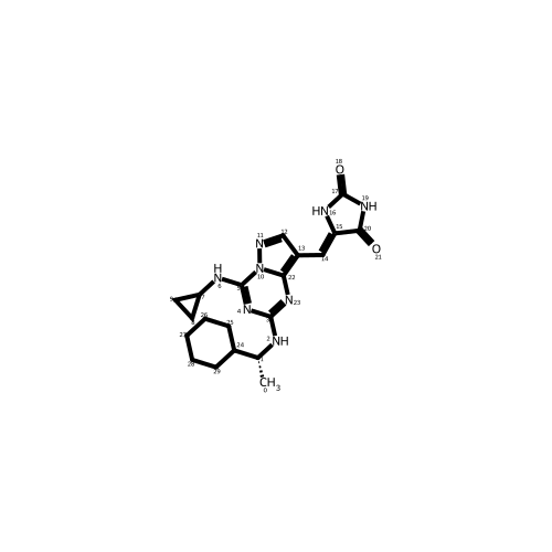 C[C@@H](Nc1nc(NC2CC2)n2ncc(/C=C3\NC(=O)NC3=O)c2n1)C1CCCCC1